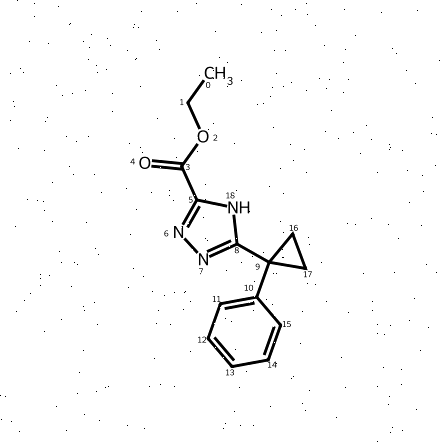 CCOC(=O)c1nnc(C2(c3ccccc3)CC2)[nH]1